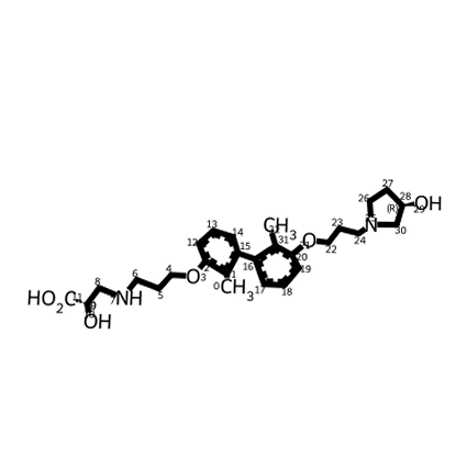 Cc1c(OCCCNC[C@H](O)C(=O)O)cccc1-c1cccc(OCCCN2CC[C@@H](O)C2)c1C